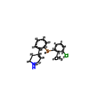 Cc1c(Cl)cccc1Sc1ccccc1C1=CCNCC1